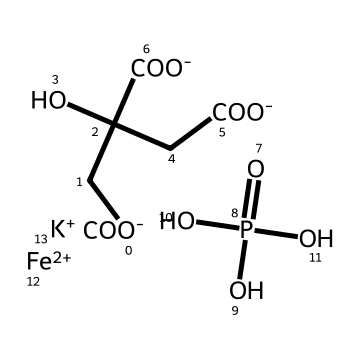 O=C([O-])CC(O)(CC(=O)[O-])C(=O)[O-].O=P(O)(O)O.[Fe+2].[K+]